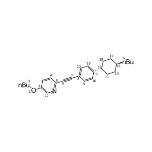 CCCCOc1ccc(C#Cc2ccc([C@H]3CC[C@H](CCCC)CC3)cc2)nc1